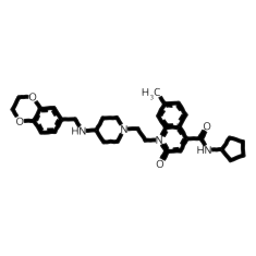 Cc1ccc2c(C(=O)NC3CCCC3)cc(=O)n(CCN3CCC(NCc4ccc5c(c4)OCCO5)CC3)c2c1